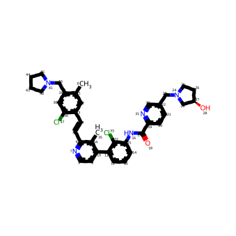 Cc1cc(/C=C/c2nccc(-c3cccc(NC(=O)c4ccc(CN5CC[C@@H](O)C5)cn4)c3Cl)c2C)c(Cl)cc1CN1CCCC1